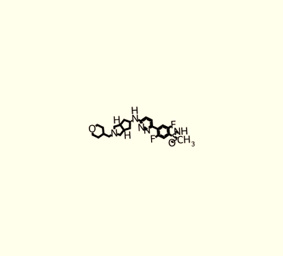 CS(=N)(=O)c1cc(F)c(-c2ccc(N[C@H]3C[C@@H]4CN(CC5CCOCC5)C[C@@H]4C3)nn2)cc1F